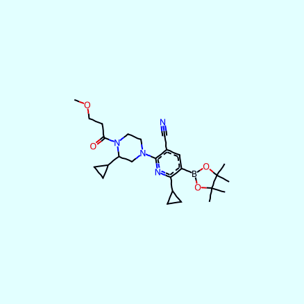 COCCC(=O)N1CCN(c2nc(C3CC3)c(B3OC(C)(C)C(C)(C)O3)cc2C#N)CC1C1CC1